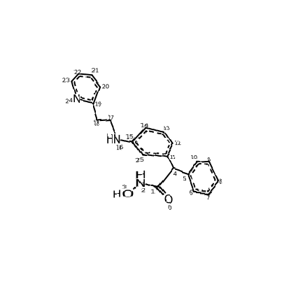 O=C(NO)C(c1ccccc1)c1cccc(NCCc2ccccn2)c1